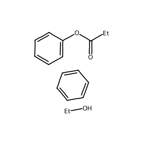 CCC(=O)Oc1ccccc1.CCO.c1ccccc1